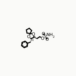 NS(=O)(=O)OCC[C@@H]1OC2(CCCC2)O[C@H]1Cc1ccccc1